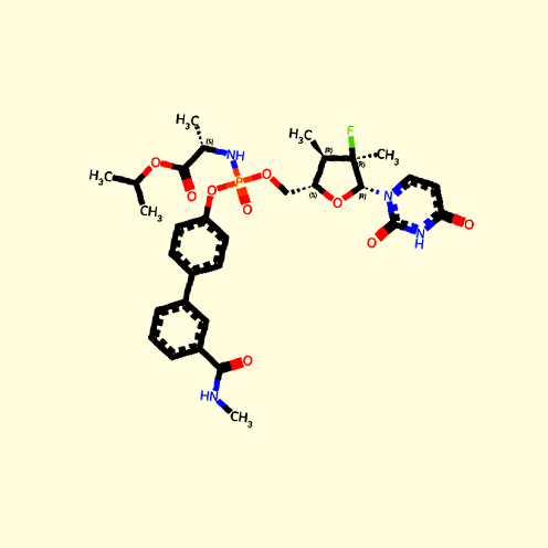 CNC(=O)c1cccc(-c2ccc(OP(=O)(N[C@@H](C)C(=O)OC(C)C)OC[C@H]3O[C@@H](n4ccc(=O)[nH]c4=O)[C@](C)(F)[C@@H]3C)cc2)c1